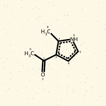 CC(=O)c1cc[nH]c1C